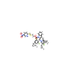 C=Cc1cc(F)c([C@@H]2c3c(c4ccccc4n3C(=O)OCCSSc3ccc([N+](=O)[O-])cn3)C[C@@H](C)N2CC(C)(C)F)c(F)c1